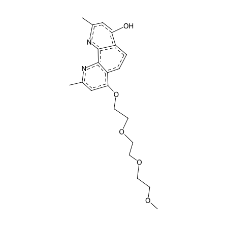 COCCOCCOCCOc1cc(C)nc2c1ccc1c(O)cc(C)nc12